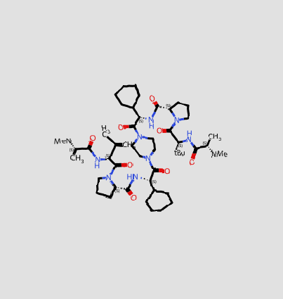 C=C(C)[C@H](NC(=O)[C@H](C)NC)C(=O)N1CCC[C@H]1C(=O)N[C@H](C(=O)N1CCN(C(=O)[C@@H](NC(=O)[C@@H]2CCCN2C(=O)[C@@H](NC(=O)[C@H](C)NC)C(C)(C)C)C2CCCCC2)CC1)C1CCCCC1